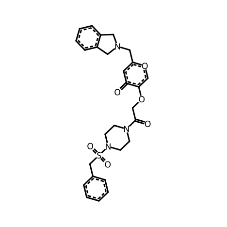 O=C(COc1coc(CN2Cc3ccccc3C2)cc1=O)N1CCN(S(=O)(=O)Cc2ccccc2)CC1